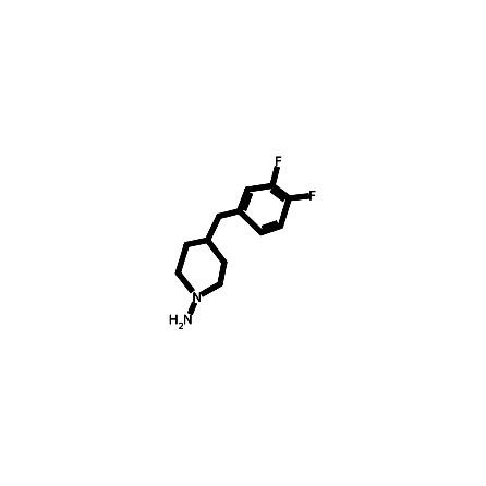 NN1CCC(Cc2ccc(F)c(F)c2)CC1